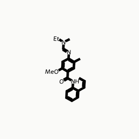 C/C=C\c1ccccc1NC(=O)c1cc(C)c(/N=C/N(C)CC)cc1OC